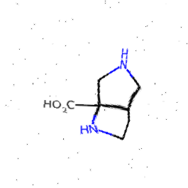 O=C(O)C12CNCC1CN2